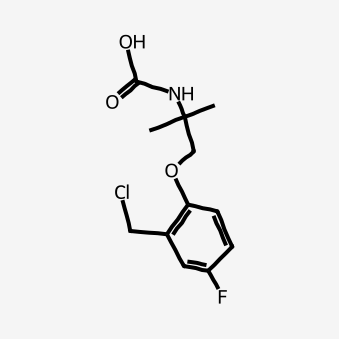 CC(C)(COc1ccc(F)cc1CCl)NC(=O)O